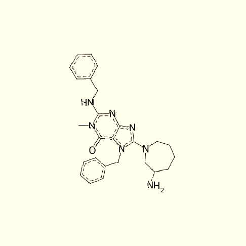 Cn1c(NCc2ccccc2)nc2nc(N3CCCCC(N)C3)n(Cc3ccccc3)c2c1=O